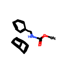 CC(=O)OOC(=O)NCc1ccccc1.c1cc2ccc1-2